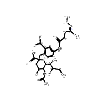 CC(=O)NC1C(O)CC(Oc2ccc(NC(=O)CC/C(C)=N\OS)cc2C(F)F)(C(=O)O)OC1C(O)C(O)CO